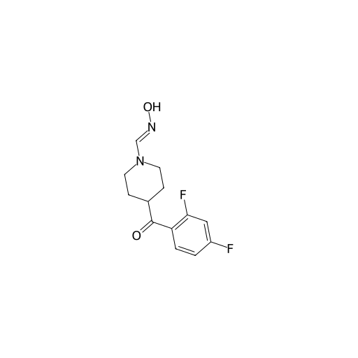 O=C(c1ccc(F)cc1F)C1CCN(C=NO)CC1